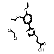 CCOc1ccc(-c2nc(CCC(=O)O)cs2)cc1OCC.ClCCl